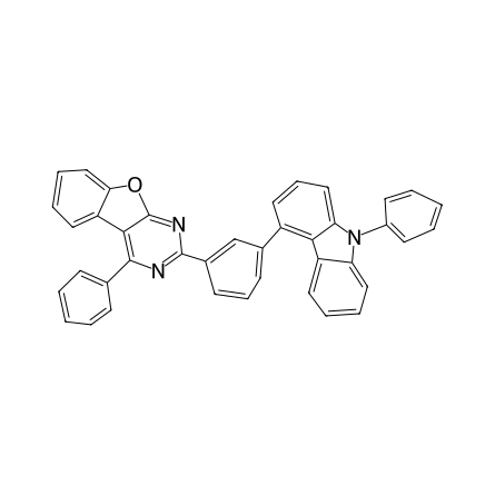 c1ccc(-c2nc(-c3cccc(-c4cccc5c4c4ccccc4n5-c4ccccc4)c3)nc3oc4ccccc4c23)cc1